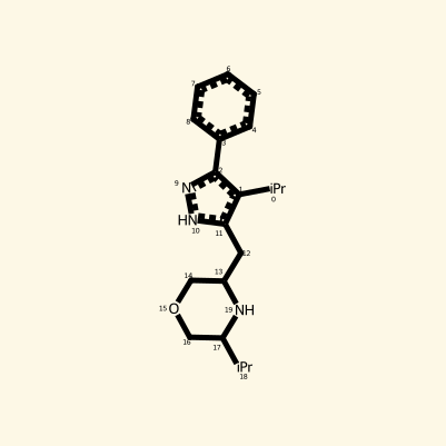 CC(C)c1c(-c2ccccc2)n[nH]c1CC1COCC(C(C)C)N1